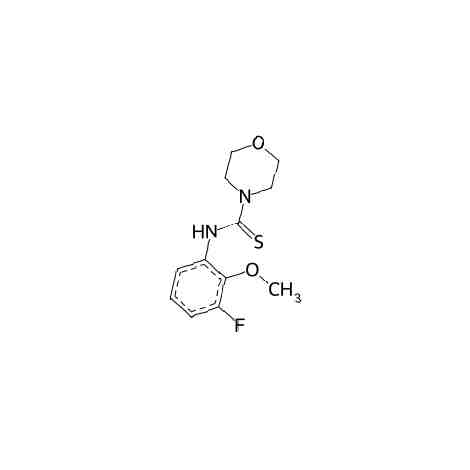 COc1c(F)cccc1NC(=S)N1CCOCC1